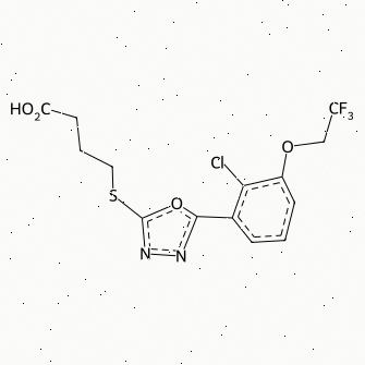 O=C(O)CCCSc1nnc(-c2cccc(OCC(F)(F)F)c2Cl)o1